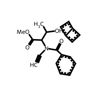 C#CN(C(=O)c1ccccc1)C(C(=O)OC)C(C)O.c1cc2ccc1-2